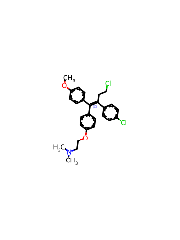 COc1ccc(/C(=C(\CCCl)c2ccc(Cl)cc2)c2ccc(OCCN(C)C)cc2)cc1